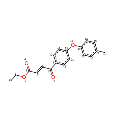 CCOC(=O)C=CC(=O)c1ccc(Oc2ccc(C)cc2)cc1